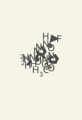 [2H]C([2H])([2H])NC(=O)c1nnc(NC(=O)[C@@H]2C[C@H]2F)cc1Nc1ncccc1S(C)(=O)=O